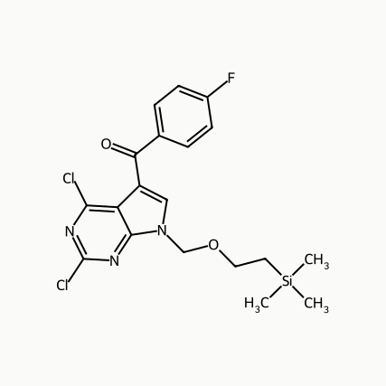 C[Si](C)(C)CCOCn1cc(C(=O)c2ccc(F)cc2)c2c(Cl)nc(Cl)nc21